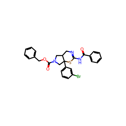 O=C(NC1=NCC2CN(C(=O)OCc3ccccc3)CC2(c2cccc(Br)c2)S1)c1ccccc1